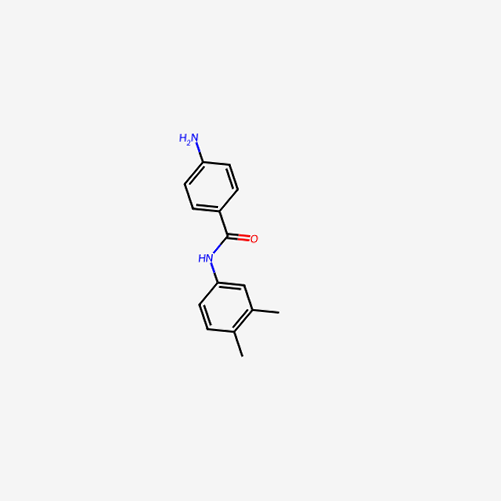 Cc1ccc(NC(=O)c2ccc(N)cc2)cc1C